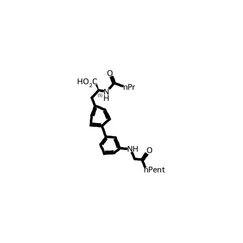 CCCCCC(=O)CNc1cccc(-c2ccc(C[C@H](NC(=O)CCC)C(=O)O)cc2)c1